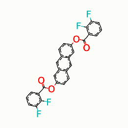 O=C(Oc1ccc2cc3cc(OC(=O)c4cccc(F)c4F)ccc3cc2c1)c1cccc(F)c1F